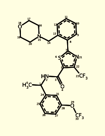 CC(NC(=O)c1sc(-c2ccccc2CN2CCOCC2)nc1C(F)(F)F)c1cccc(OC(F)(F)F)c1